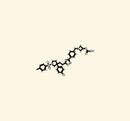 Cc1ccc(S(=O)(=O)N2CCC(CCc3nc(-c4ccc(CN5CC(OC(=O)O)C5)cc4)no3)(c3ccc(Cl)cc3)C2)cc1